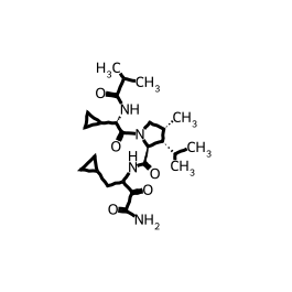 CC(C)C(=O)N[C@H](C(=O)N1C[C@H](C)[C@H](C(C)C)[C@H]1C(=O)NC(CC1CC1)C(=O)C(N)=O)C1CC1